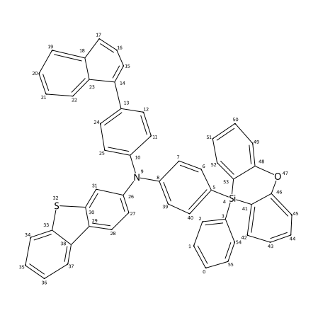 c1ccc([Si]2(c3ccc(N(c4ccc(-c5cccc6ccccc56)cc4)c4ccc5c(c4)sc4ccccc45)cc3)c3ccccc3Oc3ccccc32)cc1